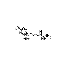 CC(C)C[C@H](NC(=O)[C@@H]1CO1)C(=O)NCCCCNC(=N)N